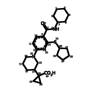 O=C(NC1CCCCC1)c1ccc(N2CCCC(C3(C(=O)O)CC3)C2)nc1SC1CCCC1